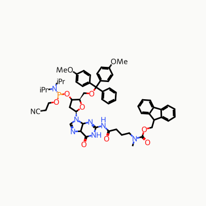 COc1ccc(C(OC[C@H]2O[C@@H](N3C=NC4C(=O)NC(NC(=O)CCCN(C)C(=O)OCC5c6ccccc6-c6ccccc65)=NC43)CC2OP(OCCC#N)N(C(C)C)C(C)C)(c2ccccc2)c2ccc(OC)cc2)cc1